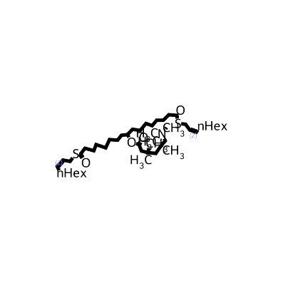 CCCCCC/C=C\CSC(=O)CCCCCCCC(CCCCCCCC(=O)SC/C=C\CCCCCC)OC(=O)CC(C)(C)CC(C)(C)CN(C)C